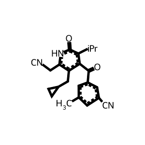 [C-]#[N+]Cc1[nH]c(=O)c(C(C)C)c(C(=O)c2cc(C)cc(C#N)c2)c1CC1CC1